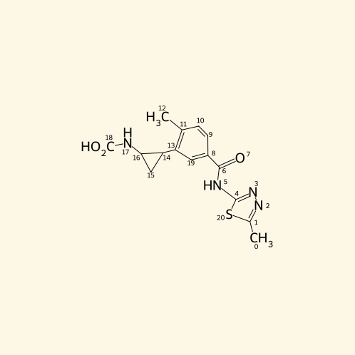 Cc1nnc(NC(=O)c2ccc(C)c(C3CC3NC(=O)O)c2)s1